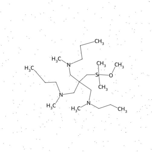 CCCN(C)CC(CN(C)CCC)(CN(C)CCC)C[Si](C)(C)OC